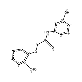 O=Cc1ccccc1OCC(=O)Nc1cccc(O)c1